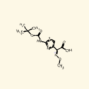 CO/N=C(\C(=O)O)c1csc(NC(=O)OC(C)(C)C)n1